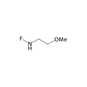 COCCNF